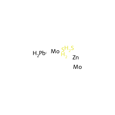 S.S.[Mo].[Mo].[PbH2].[Zn]